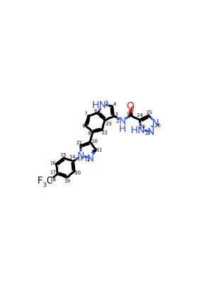 O=C(Nc1c[nH]c2ccc(-c3cnn(-c4ccc(C(F)(F)F)cc4)c3)cc12)c1cnn[nH]1